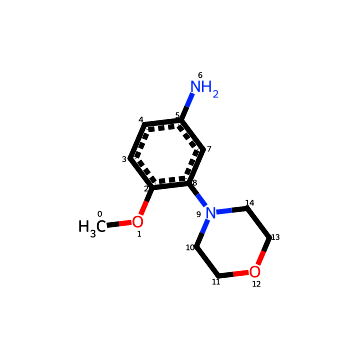 COc1ccc(N)cc1N1CCOCC1